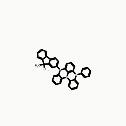 CC1(C)c2ccccc2-c2ccc(N3c4ccccc4B4c5ccccc5N(c5ccccc5)c5cccc3c54)cc21